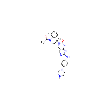 [2H]C1(N2Cc3cnc(Nc4ccc(N5CCN(C)CC5)cc4)nc3N(C)C2=O)CCN(C(=O)C(F)(F)F)c2c(C)cccc21